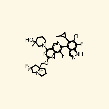 CC1CC1c1c(Cl)c(F)c2[nH]ncc2c1-c1ncc2c(N3CCC[C@@](C)(O)C3)nc(OC[C@@]34CCCN3C[C@H](F)C4)nc2c1F